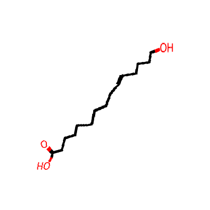 O=C(O)CCCCCCCCC=CCCCCO